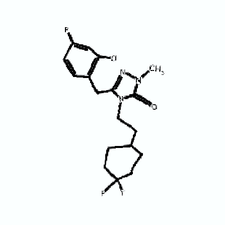 Cn1nc(Cc2ccc(F)cc2Cl)n(CCC2CCC(F)(F)CC2)c1=O